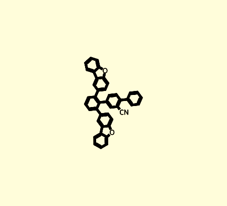 N#Cc1cc(-c2c(-c3ccc4oc5ccccc5c4c3)cccc2-c2ccc3oc4ccccc4c3c2)ccc1-c1ccccc1